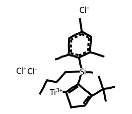 CCCC[Si](C)(C1=[C]([Ti+3])CC=C1C(C)(C)C)c1c(C)cc(C)cc1C.[Cl-].[Cl-].[Cl-]